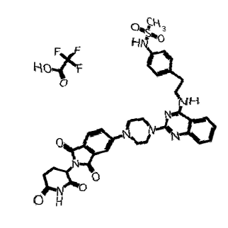 CS(=O)(=O)Nc1ccc(CCNc2nc(N3CCN(c4ccc5c(c4)C(=O)N(C4CCC(=O)NC4=O)C5=O)CC3)nc3ccccc23)cc1.O=C(O)C(F)(F)F